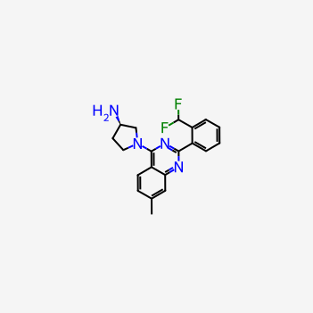 Cc1ccc2c(N3CC[C@@H](N)C3)nc(-c3ccccc3C(F)F)nc2c1